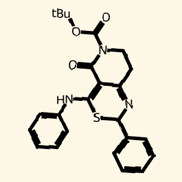 CC(C)(C)OC(=O)N1CCC2=NC(c3ccccc3)SC(Nc3ccccc3)=C2C1=O